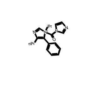 CCCC1=C(c2ccccc2)[N+](C(=O)n2ccnc2)(C(C)C)C=N1